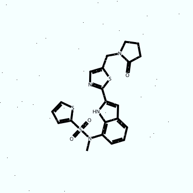 CN(c1cccc2cc(-c3ncc(CN4CCCC4=O)s3)[nH]c12)S(=O)(=O)c1cccs1